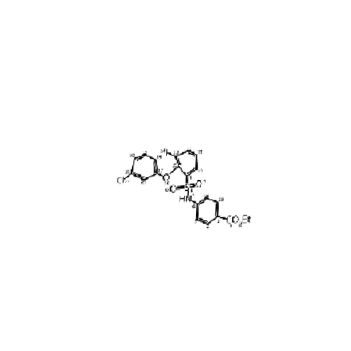 CCOC(=O)c1ccc(NS(=O)(=O)c2cccc(I)c2Oc2cccc(Cl)c2)cc1